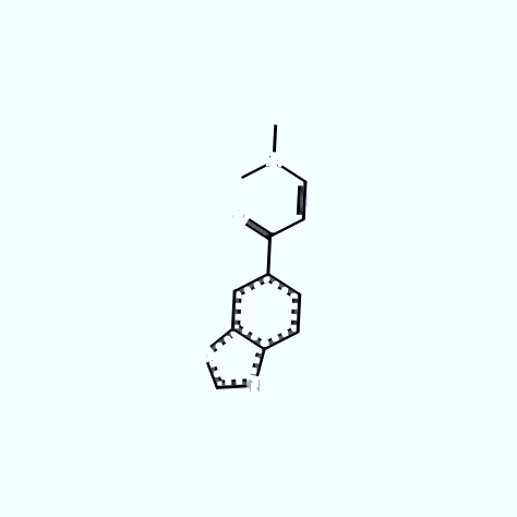 CN(C)/C=C\C(=O)c1ccc2ncsc2c1